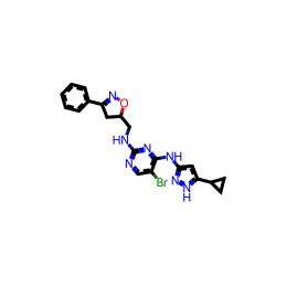 Brc1cnc(NCC2CC(c3ccccc3)=NO2)nc1Nc1cc(C2CC2)[nH]n1